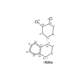 CN[C@H]1CC[C@@H](C2CCC(Cl)C(Cl)C2)c2ccccc21